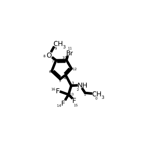 CCNC(c1ccc(OC)c(Br)c1)C(F)(F)F